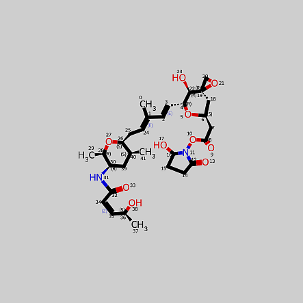 CC(/C=C/[C@H]1O[C@H](CC(=O)ON2C(=O)CCC2O)C[C@@]2(CO2)[C@@H]1O)=C\C[C@@H]1O[C@H](C)[C@H](NC(=O)/C=C\[C@H](C)O)C[C@@H]1C